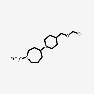 CCOC(=O)N1CCCC(N2CCC(COCO)CC2)CC1